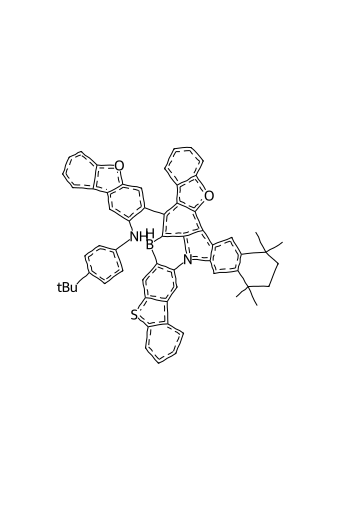 CC(C)(C)c1ccc(Nc2cc3c(cc2-c2c4c5c(c6cc7c(cc6n5-c5cc6c(cc5B4)sc4ccccc46)C(C)(C)CCC7(C)C)c4oc5ccccc5c24)oc2ccccc23)cc1